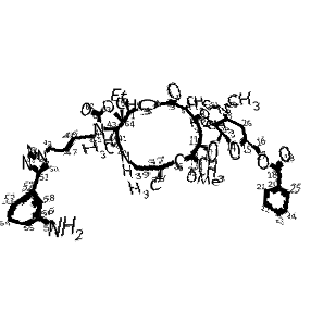 CC[C@H]1OC(=O)C(C)C(=O)[C@H](C)[C@@H](O[C@@H]2O[C@H](COC(=O)c3ccccc3)CC(N(C)C)C2O)[C@](C)(OC)C[C@@H](C)CN[C@H](C)[C@H]2N(CCCCn3cc(-c4cccc(N)c4)nn3)C(=O)O[C@]12C